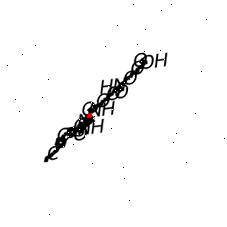 CCCCCc1ccc(Oc2ccc(S(=O)(=O)Nc3ccc(C(=O)NCCOCCOCC(=O)NCCOCCOCC(=O)O)cn3)cc2)cc1